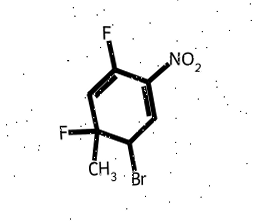 CC1(F)C=C(F)C([N+](=O)[O-])=CC1Br